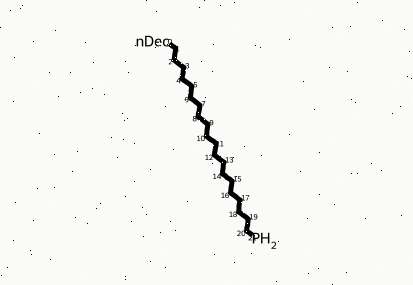 CCCCCCCCCCCCCCCCCCCCCCCCCCCCCCP